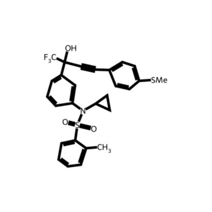 CSc1ccc(C#CC(O)(c2cccc(N(C3CC3)S(=O)(=O)c3ccccc3C)c2)C(F)(F)F)cc1